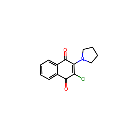 O=C1C(Cl)=C(N2CCCC2)C(=O)c2ccccc21